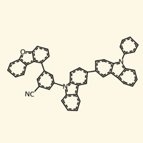 N#Cc1cc(-c2cccc3oc4ccccc4c23)cc(-n2c3ccccc3c3cc(-c4ccc5c(c4)c4ccccc4n5-c4ccccc4)ccc32)c1